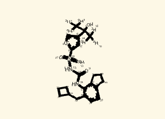 [2H]C([2H])([2H])C(O)(c1coc(S(=N)(=O)NC(=O)Nc2c(CC3CCC3)ccc3c2CCC3)c1)C([2H])([2H])[2H]